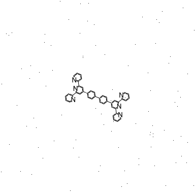 c1ccc(-c2cc(-c3ccc(-c4ccc(-c5cc(-c6ccccn6)nc(-c6ccccn6)c5)cc4)cc3)cc(-c3ccccn3)n2)nc1